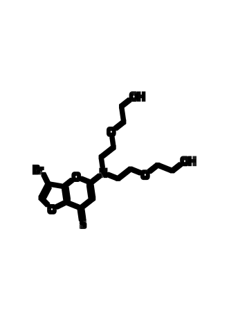 OCCOCCN(CCOCCO)c1cc(=S)c2occ(Br)c2o1